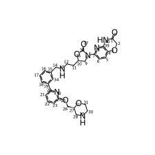 O=C1COc2ccc(N3CC(CCNCc4cccc(-c5cccc(OC[C@@H]6CNCCO6)n5)c4)OC3=O)nc2N1